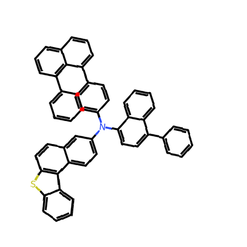 c1ccc(-c2ccc(N(c3ccc(-c4cccc5cccc(-c6ccccc6)c45)cc3)c3ccc4c(ccc5sc6ccccc6c54)c3)c3ccccc23)cc1